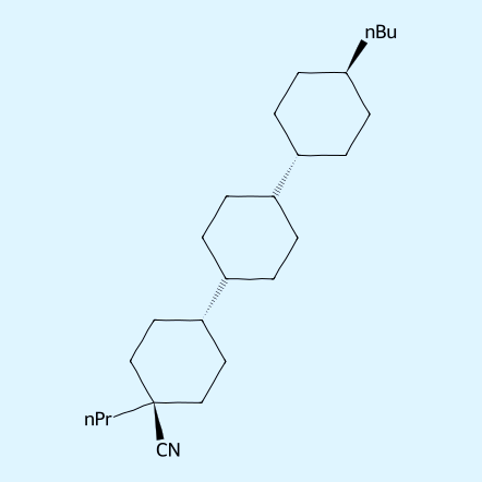 CCCC[C@H]1CC[C@H](C2CCC([C@H]3CC[C@@](C#N)(CCC)CC3)CC2)CC1